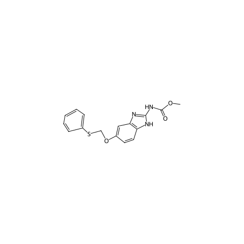 COC(=O)Nc1nc2cc(OCSc3ccccc3)ccc2[nH]1